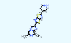 Cc1cn2cc(-c3nc4sc(C5=CCNCC5)nc4s3)nc2c(C)n1